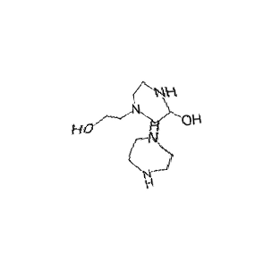 C1CNCCN1.OCCN1CCNC(O)C1